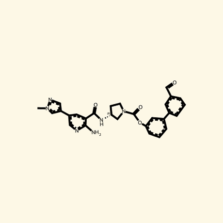 Cn1cc(-c2cnc(N)c(C(=O)N[C@@H]3CCN(C(=O)Oc4cccc(-c5cccc(C=O)c5)c4)C3)c2)cn1